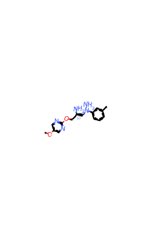 COc1cnc(OC/C(N)=C/N(N)c2cccc(C)c2)nc1